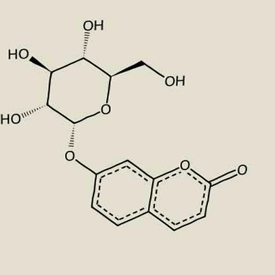 O=c1ccc2ccc(O[C@H]3O[C@H](CO)[C@@H](O)[C@H](O)[C@H]3O)cc2o1